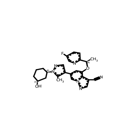 Cc1c(-c2cc(O[C@H](C)c3ccc(F)cn3)c3c(C#N)cnn3c2)cnn1[C@@H]1CCC[C@H](O)C1